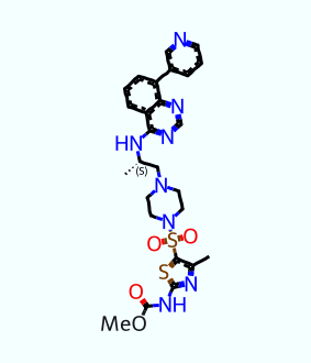 COC(=O)Nc1nc(C)c(S(=O)(=O)N2CCN(C[C@H](C)Nc3ncnc4c(-c5cccnc5)cccc34)CC2)s1